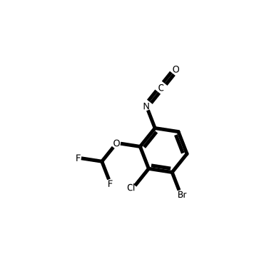 O=C=Nc1ccc(Br)c(Cl)c1OC(F)F